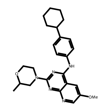 COc1cnc2nc(N3CCOC(C)C3)nc(Nc3ccc(C4CCCCC4)cc3)c2c1